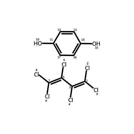 ClC(Cl)=C(Cl)C(Cl)=C(Cl)Cl.Oc1ccc(O)cc1